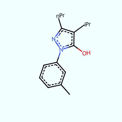 CCCc1nn(-c2cccc(C)c2)c(O)c1C(C)C